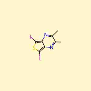 Cc1nc2c(I)sc(I)c2nc1C